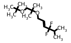 CC(C)C(F)(F)/C=C/COC(C)(C)COC(C)(C)C